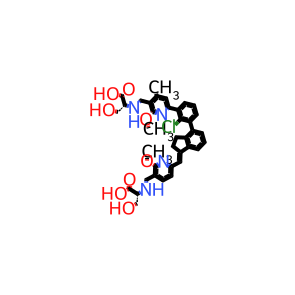 COc1nc(/C=C2\CCc3c2cccc3-c2cccc(-c3cc(C)c(CN[C@H](CO)C(=O)O)c(OC)n3)c2Cl)ccc1CN[C@H](CO)C(=O)O